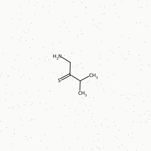 CC(C)C(=S)CN